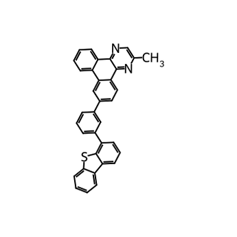 Cc1cnc2c3ccccc3c3cc(-c4cccc(-c5cccc6c5sc5ccccc56)c4)ccc3c2n1